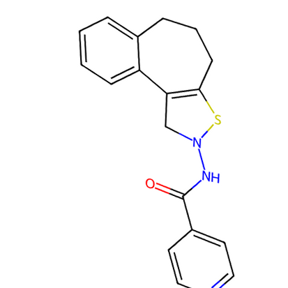 O=C(NN1CC2=C(CCCc3ccccc32)S1)c1ccncc1